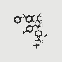 CC[C@H]1CN(C(=O)[C@@H](C2C=CC(F)=CC2)N(C(=O)CCl)c2ccc(Oc3ccccc3)cc2C)CCN1C(=O)OC(C)(C)C